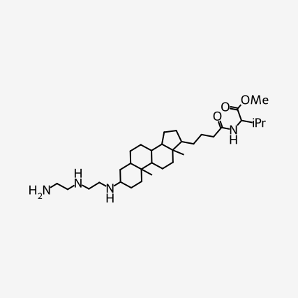 COC(=O)C(NC(=O)CCCC1CCC2C3CCC4CC(NCCNCCN)CCC4(C)C3CCC12C)C(C)C